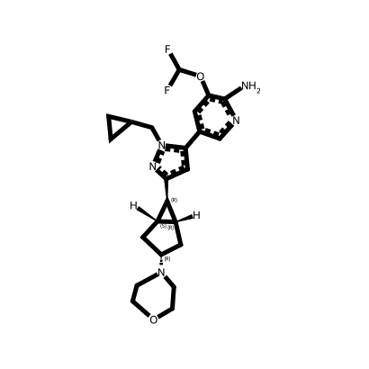 Nc1ncc(-c2cc([C@H]3[C@@H]4C[C@H](N5CCOCC5)C[C@@H]43)nn2CC2CC2)cc1OC(F)F